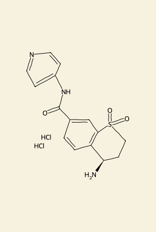 Cl.Cl.N[C@@H]1CCS(=O)(=O)c2cc(C(=O)Nc3ccncc3)ccc21